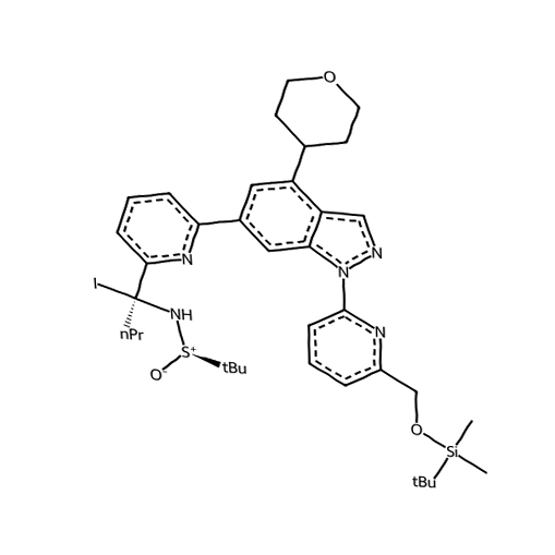 CCC[C@@](I)(N[S@+]([O-])C(C)(C)C)c1cccc(-c2cc(C3CCOCC3)c3cnn(-c4cccc(CO[Si](C)(C)C(C)(C)C)n4)c3c2)n1